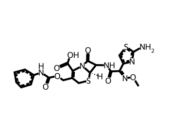 CO/N=C(/C(=O)NC1C(=O)N2C(C(=O)O)=C(COC(=O)Nc3ccccc3)CS[C@H]12)c1csc(N)n1